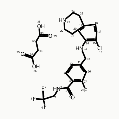 O=C(NCC(F)(F)F)c1ccc(CNc2c(Cl)ccc3c2CCNCC3)cc1F.O=C(O)CCC(=O)O